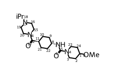 COC1CCN(C(=O)N[C@H]2CC[C@H](C(=O)N3CCN(C(C)C)CC3)CC2)CC1